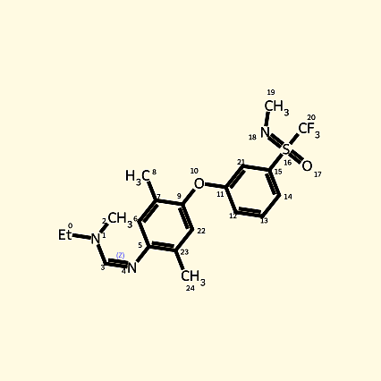 CCN(C)/C=N\c1cc(C)c(Oc2cccc(S(=O)(=NC)C(F)(F)F)c2)cc1C